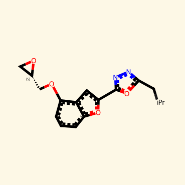 CC(C)Cc1nnc(-c2cc3c(OC[C@@H]4CO4)cccc3o2)o1